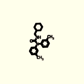 Cc1cccc(N(C(=O)NCC2CCCCC2)c2cccc(C)c2)c1